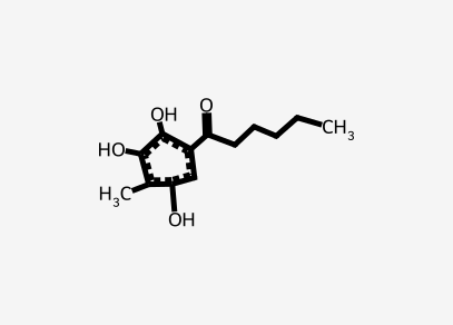 CCCCCC(=O)c1cc(O)c(C)c(O)c1O